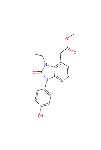 CCn1c(=O)n(-c2ccc(O)cc2)c2nccc(CC(=O)OC)c21